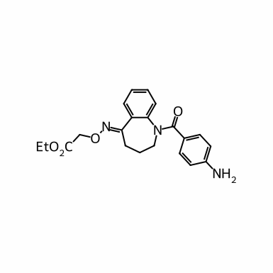 CCOC(=O)CON=C1CCCN(C(=O)c2ccc(N)cc2)c2ccccc21